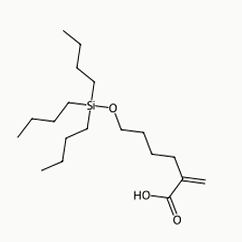 C=C(CCCCO[Si](CCCC)(CCCC)CCCC)C(=O)O